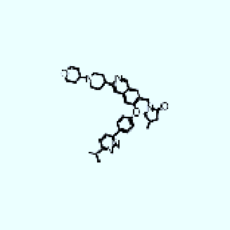 CC1CC(=O)N(Cc2cc3cnc(C4CCN(C5CCOCC5)CC4)cc3cc2Oc2ccc(-c3ccc(C(C)C)nn3)cc2)C1